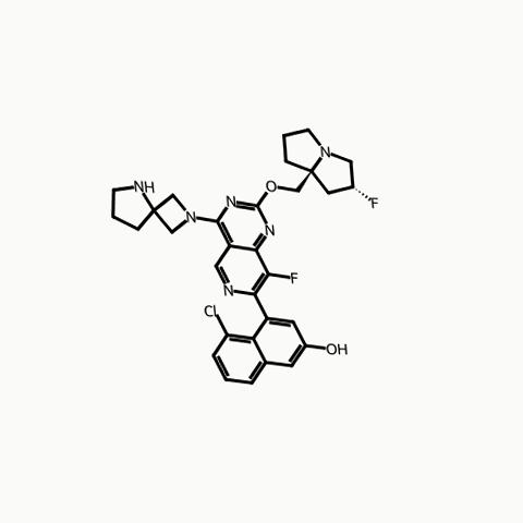 Oc1cc(-c2ncc3c(N4CC5(CCCN5)C4)nc(OC[C@@]45CCCN4C[C@H](F)C5)nc3c2F)c2c(Cl)cccc2c1